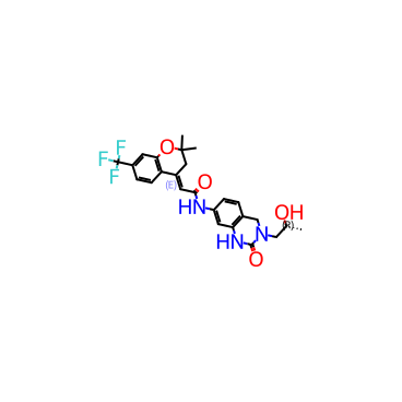 C[C@@H](O)CN1Cc2ccc(NC(=O)/C=C3\CC(C)(C)Oc4cc(C(F)(F)F)ccc43)cc2NC1=O